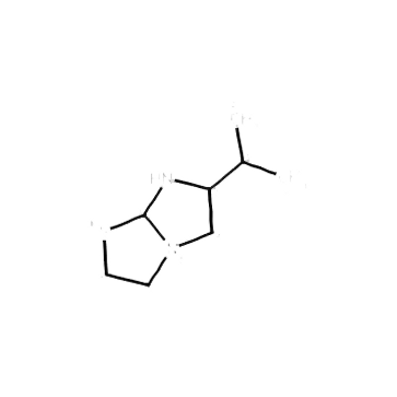 CC(C)C1CN2CCSC2N1